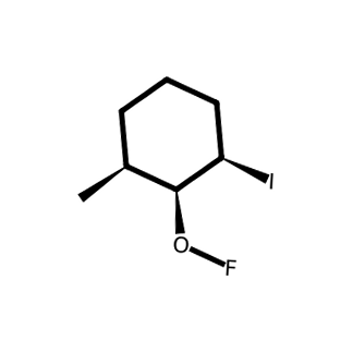 C[C@H]1CCC[C@@H](I)[C@H]1OF